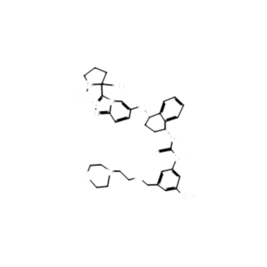 CN1CCCC1(C)c1nnc2ccc(O[C@@H]3CC[C@H](NC(=O)Nc4cc(COCCN5CCOCC5)cc(C(C)(C)C)c4)c4ccccc43)cn12